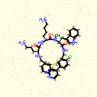 CN1C(=O)[C@H](CCCCN)NC(=O)[C@H](CCCN)NCc2ccncc2Sc2c(-c3ccncc3)ccc(Cl)c2CNC(=O)[C@@H]1Cc1c[nH]c2ccccc12